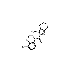 Nc1c2c(nn1C(=O)C1CCNc3c(Cl)cccc31)CCNC2